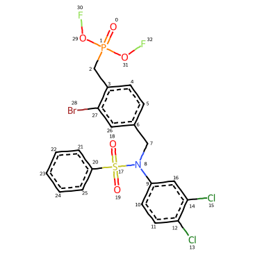 O=P(Cc1ccc(CN(c2ccc(Cl)c(Cl)c2)S(=O)(=O)c2ccccc2)cc1Br)(OF)OF